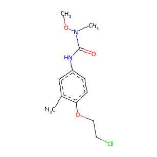 CON(C)C(=O)Nc1ccc(OCCCl)c(C)c1